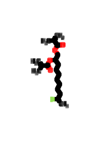 C=C(C)C(=O)OCC(CCCCCCCC(C)F)OC(=O)C(=C)C